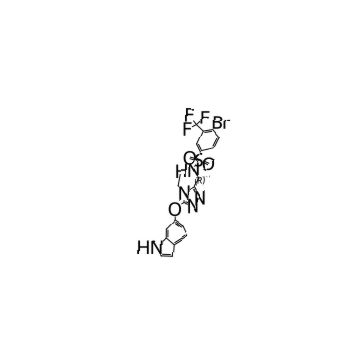 CCn1c(Oc2ccc3cc[nH]c3c2)nnc1[C@@H](C)NS(=O)(=O)c1ccc(Br)c(C(F)(F)F)c1